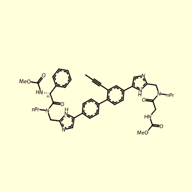 CC#Cc1cc(-c2cnc(CN(CCC)C(=O)CNC(=O)OC)[nH]2)ccc1-c1ccc(-c2cnc(CN(CCC)C(=O)[C@H](NC(=O)OC)c3ccccc3)[nH]2)cc1